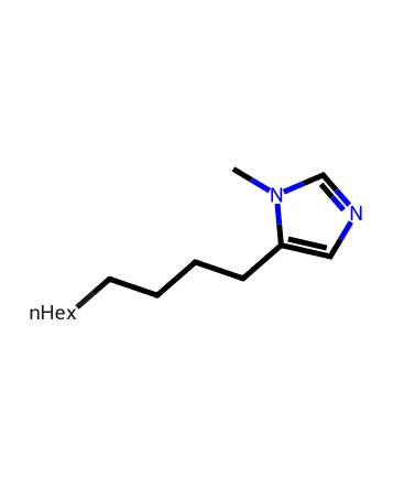 CCCCCCCCCCc1cncn1C